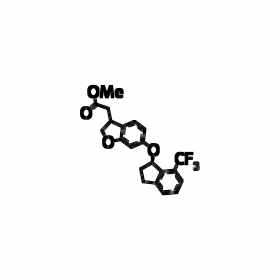 COC(=O)CC1COc2cc(O[C@@H]3CCc4cccc(C(F)(F)F)c43)ccc21